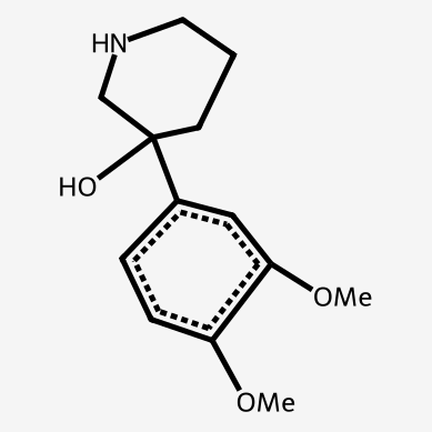 COc1ccc(C2(O)CCCNC2)cc1OC